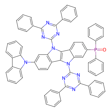 O=P(c1ccccc1)(c1ccccc1)c1ccc2c(c1)n(-c1nc(-c3ccccc3)nc(-c3ccccc3)n1)c1c3ccc(-n4c5ccccc5c5ccccc54)cc3n(-c3nc(-c4ccccc4)nc(-c4ccccc4)n3)c21